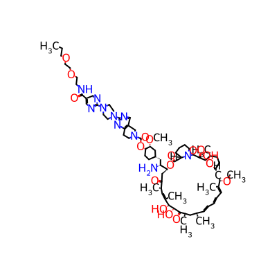 CCCOCCOCCNC(=O)c1cnc(N2CCN(c3ncc4c(n3)CCN(C(=O)OC3CC[C@@H](C[C@@H](N)[C@@H]5CC(=O)[C@H](C)/C=C(\C)[C@@H](O)[C@@H](O)C(=O)[C@H](C)C[C@H](C)/C=C/C=C/C=C(\C)[C@@H](OC)C[C@@H]6CC[C@@H](C)[C@@](O)(O6)C(=O)C(=O)N6CCCC[C@H]6C(=O)O5)C[C@H]3OC)C4)CC2)nc1